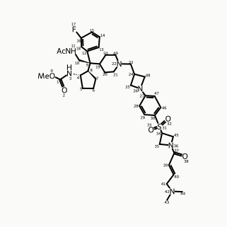 COC(=O)N[C@H]1CCC[C@@H]1[C@](CNC(C)=O)(c1cccc(F)c1)C1CCN(CC2CN(c3ccc(S(=O)(=O)C4CN(C(=O)/C=C/CN(C)C)C4)cc3)C2)CC1